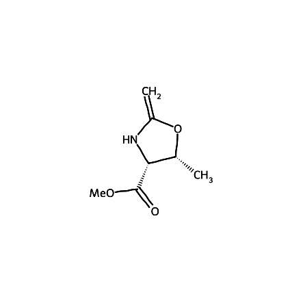 C=C1N[C@@H](C(=O)OC)[C@@H](C)O1